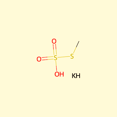 CSS(=O)(=O)O.[KH]